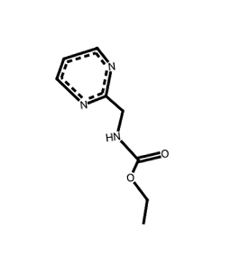 CCOC(=O)NCc1ncccn1